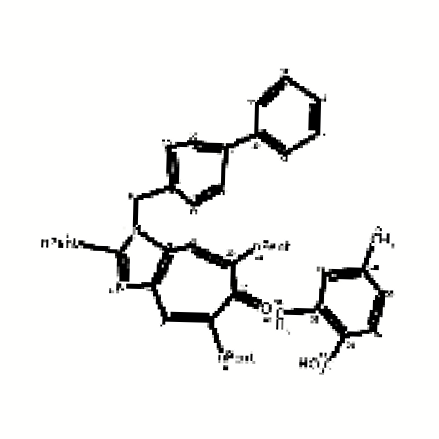 CCCCCc1cc2nc(CCCCC)n(Cc3ccc(-c4ccccc4)cc3)c2cc(CCCCC)c1=O.Cc1ccc(C(=O)O)c(C)c1